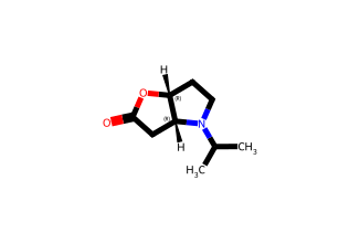 CC(C)N1CC[C@H]2OC(=O)C[C@H]21